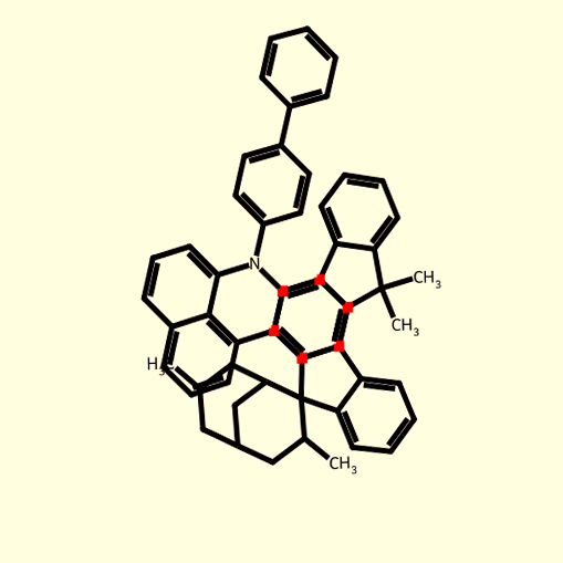 CC1CC2CC(C)C3(c4ccccc4-c4cccc(-c5cccc6cccc(N(c7ccc(-c8ccccc8)cc7)c7cccc8c7-c7ccccc7C8(C)C)c56)c43)C(C1)C2